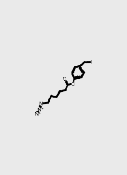 [N-]=[N+]=NCCCCCC(=O)Oc1ccc(CI)cc1